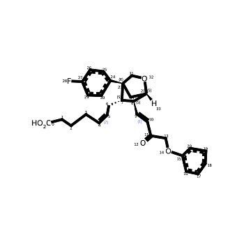 O=C(O)CCC/C=C\C[C@H]1[C@H](/C=C/C(=O)COc2ccccc2)[C@@H]2C[C@@]1(c1ccc(F)cc1)CO2